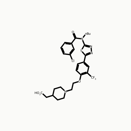 CCCCN(C(=O)c1cccc(Cl)c1)c1nnc(-c2ccc(OCCN3CCC(CC(=O)O)CC3)c(C(F)(F)F)c2)s1